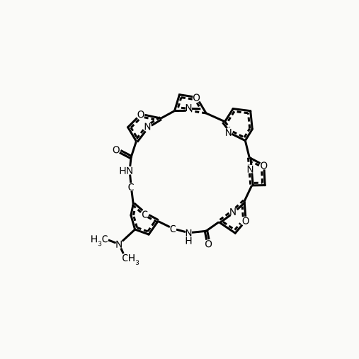 CN(C)c1cc2cc(c1)CNC(=O)c1coc(n1)-c1coc(n1)-c1cccc(n1)-c1nc(co1)-c1nc(co1)C(=O)NC2